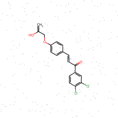 C=C(O)COc1ccc(/C=C/C(=O)c2ccc(Cl)c(Cl)c2)cc1